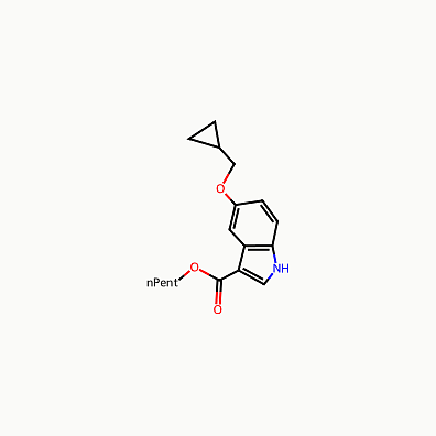 CCCCCOC(=O)c1c[nH]c2ccc(OCC3CC3)cc12